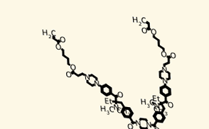 C=CC(=O)OCCCCOC(=O)CCN1CCN(c2ccc(C(=O)C(CC)(Cc3ccc(C(=O)N4CCN(C(=O)c5ccc(CC(CC)(C(=O)c6ccc(N7CCN(CCC(=O)OCCCCOC(=O)C=C)CC7)cc6)N(C)C)cc5)CC4)cc3)N(C)C)cc2)CC1